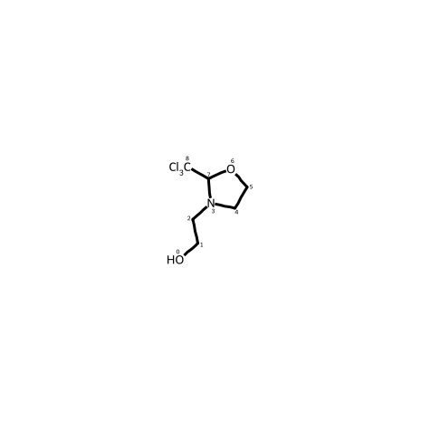 OCCN1CCOC1C(Cl)(Cl)Cl